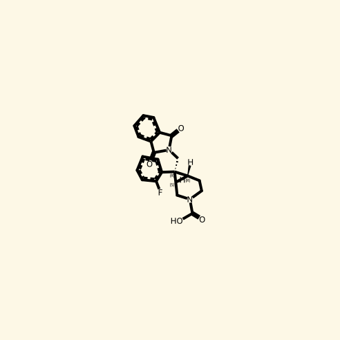 O=C(O)N1CC[C@@H]2[C@H](C1)[C@@]2(CN1C(=O)c2ccccc2C1=O)c1ccccc1F